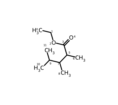 CCOC(=O)C(C)C(C)C(C)C